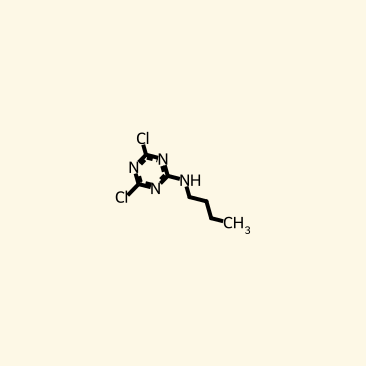 CCCCNc1nc(Cl)nc(Cl)n1